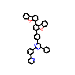 c1ccc(-c2cc(-c3ccc(-c4ccc(-c5cccc6c5oc5ccccc56)c5c4oc4ccccc45)cc3)nc(-c3cccc(-c4ccccn4)c3)n2)cc1